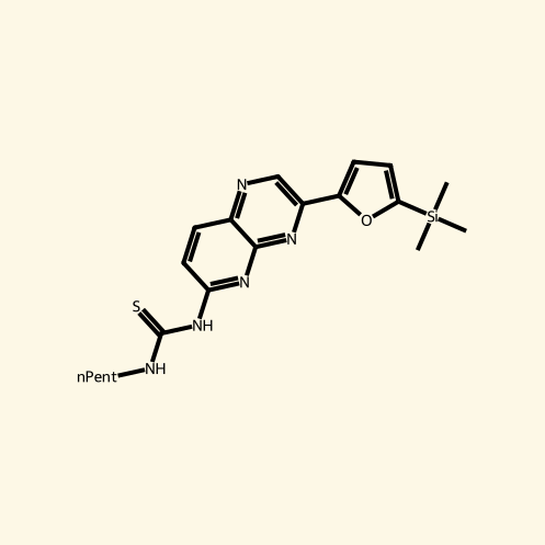 CCCCCNC(=S)Nc1ccc2ncc(-c3ccc([Si](C)(C)C)o3)nc2n1